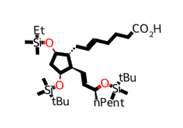 CCCCC[C@@H](C=C[C@@H]1[C@@H](CC=CCCCC(=O)O)[C@@H](O[Si](C)(C)CC)C[C@H]1O[Si](C)(C)C(C)(C)C)O[Si](C)(C)C(C)(C)C